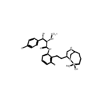 CC(C)[C@H](c1ccc(Cl)cc1)[C@@H](NC(=O)O)C(=O)Nc1cccc(F)c1CCC1CNC2CCCS(O)(O)N1C2